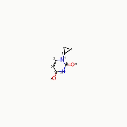 O=C1C=CN(C2CC2)C(=O)[N]1